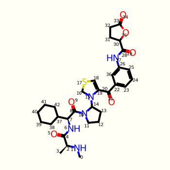 CN[C@@H](C)C(=O)N[C@H](C(=O)N1CCCC1N1CSC=C1C(=O)c1cccc(NC(=O)C2CCC(=O)O2)c1)C1CCCCC1